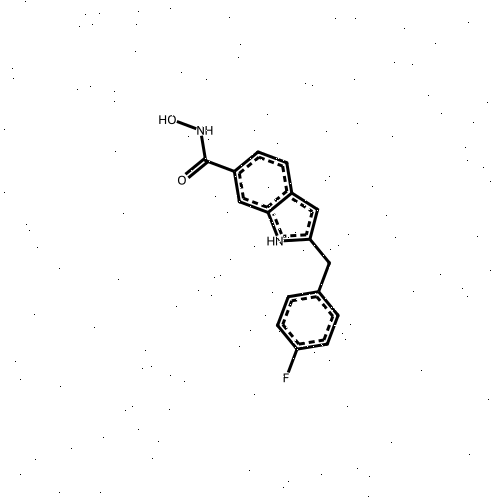 O=C(NO)c1ccc2cc(Cc3ccc(F)cc3)[nH]c2c1